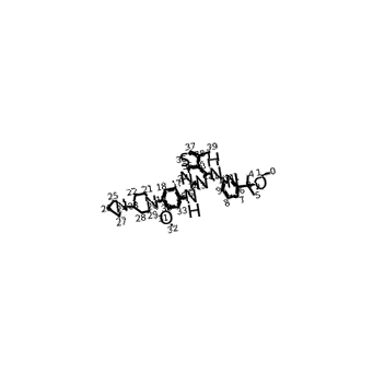 CCOC(C)(C)c1cccc(Nc2nc(Nc3ccc(N4CCC(N5CCC5)CC4)c(OC)c3)nc3scc(C)c23)n1